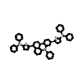 c1ccc(N(c2ccccc2)c2ccc(-c3ccc4c(c3)N(c3ccccc3)c3cccc5c(-c6ccc(N(c7ccccc7)c7ccccc7)s6)ccc-4c35)s2)cc1